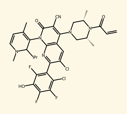 C=CC(=O)N1[C@H](C)CN(c2c(C#N)c(=O)n(C3=C(C)C=CN(C)C3C(C)C)c3nc(-c4c(F)c(O)c(F)c(F)c4Cl)c(Cl)cc23)C[C@@H]1C